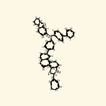 c1ccc(-c2ccc(N(c3ccc(-c4ccc5ccc6c7c(ccc6c5c4)NC(c4ccccc4)O7)cc3)c3ccc4c(c3)oc3ccccc34)cc2)cc1